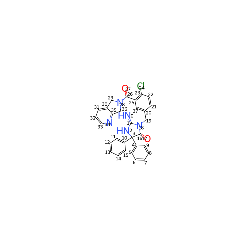 N=C1NC(c2ccccc2)(c2ccccc2)C(=O)N1Cc1ccc(Cl)c(C(=O)N2Cc3cccnc3C2)c1